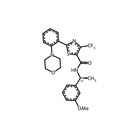 COc1cccc([C@H](C)NC(=O)c2sc(-c3ccccc3N3CCOCC3)nc2C(F)(F)F)c1